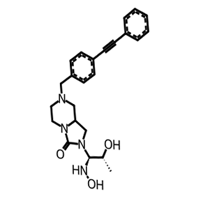 C[C@@H](O)[C@@H](NO)N1CC2CN(Cc3ccc(C#Cc4ccccc4)cc3)CCN2C1=O